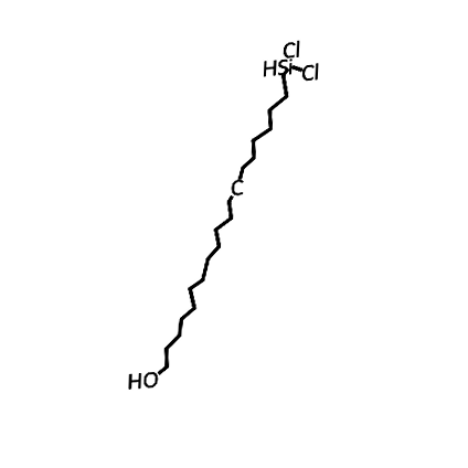 OCCCCCCCCCCCCCCCCCCCC[SiH](Cl)Cl